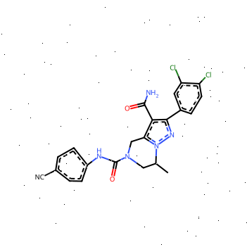 CC1CN(C(=O)Nc2ccc(C#N)cc2)Cc2c(C(N)=O)c(-c3ccc(Cl)c(Cl)c3)nn21